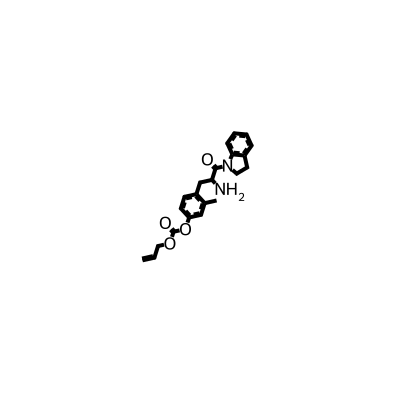 C=CCOC(=O)Oc1ccc(CC(N)C(=O)N2CCc3ccccc32)c(C)c1